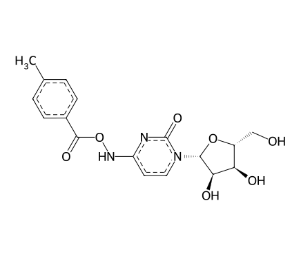 Cc1ccc(C(=O)ONc2ccn([C@@H]3O[C@H](CO)[C@@H](O)[C@H]3O)c(=O)n2)cc1